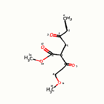 CCC(=O)CC(C(=O)COC)C(=O)OC